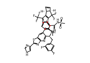 Cn1nc(NS(C)(=O)=O)c2cccc(-c3cc4sc(-c5c[nH]cn5)nc4nc3[C@H](Cc3cc(F)cc(F)c3)NC(=O)Cn3nc(C(F)(F)F)c4c3C(F)(F)[C@@H]3C=C[C@H]43)c21